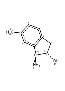 Cc1ccc2c(c1)[C@H](N)[C@@H](O)C2